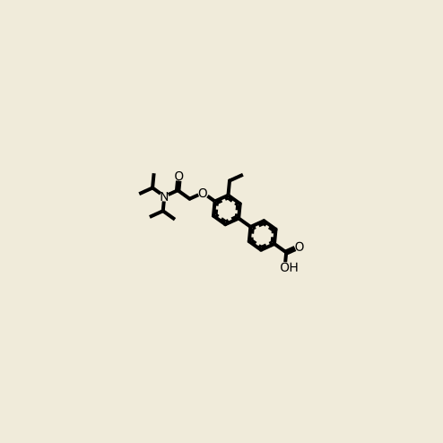 CCc1cc(-c2ccc(C(=O)O)cc2)ccc1OCC(=O)N(C(C)C)C(C)C